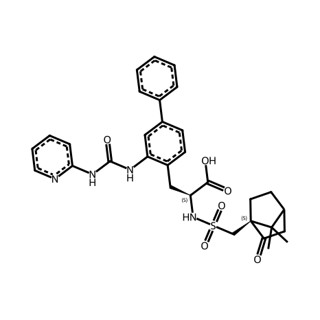 CC1(C)C2CC[C@@]1(CS(=O)(=O)N[C@@H](Cc1ccc(-c3ccccc3)cc1NC(=O)Nc1ccccn1)C(=O)O)C(=O)C2